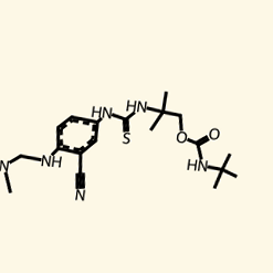 CN(C)CNc1ccc(NC(=S)NC(C)(C)COC(=O)NC(C)(C)C)cc1C#N